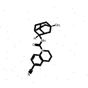 N#Cc1ccc2c(c1)CCCN2C(=O)N[C@H]1C2CC3CC1C[C@](O)(C3)C2